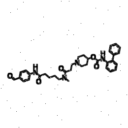 CN(CCCCC(=O)Nc1ccc(C=O)cc1)C(=O)CCN1CCC(OC(=O)Nc2ccccc2-c2ccccc2)CC1